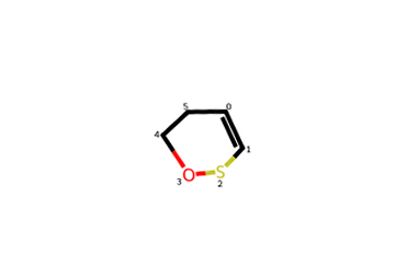 C1=CSOCC1